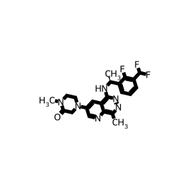 Cc1nnc(N[C@H](C)c2cccc(C(F)F)c2F)c2cc(N3CCN(C)C(=O)C3)cnc12